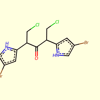 O=C(C(CCl)c1cc(Br)c[nH]1)C(CCl)c1cc(Br)c[nH]1